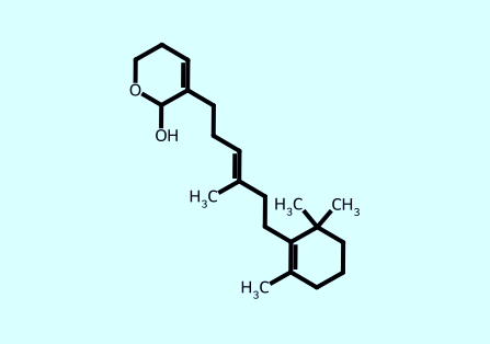 CC1=C(CC/C(C)=C/CCC2=CCCOC2O)C(C)(C)CCC1